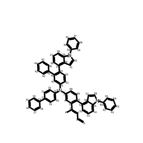 C=C/C=C(\C)c1cc(N(c2ccc(-c3ccccc3)cc2)c2ccc(-c3cccc4c3ccn4-c3ccccc3)c(-c3ccccc3)c2)ccc1-c1cccc2c1ccn2-c1ccccc1